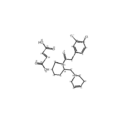 O=C(Cc1ccc(Cl)c(Cl)c1)N1CCCCC1CN1CC=CCC1.O=C(O)C=CC(=O)O